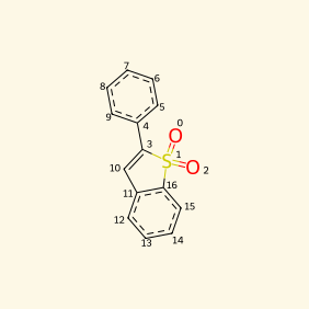 O=S1(=O)C(c2ccccc2)=Cc2ccccc21